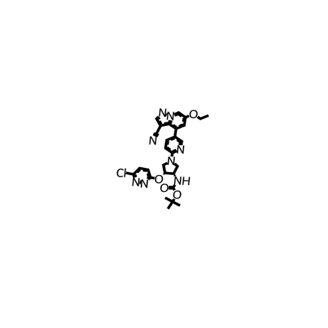 CCOc1cc(-c2ccc(N3C[C@@H](NC(=O)OC(C)(C)C)[C@H](Oc4ccc(Cl)nn4)C3)nc2)c2c(C#N)cnn2c1